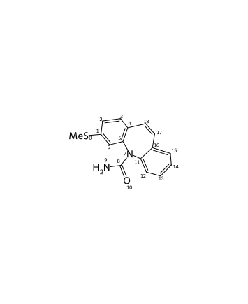 CSc1ccc2c(c1)N(C(N)=O)c1ccccc1C=C2